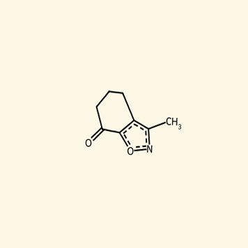 Cc1noc2c1CCCC2=O